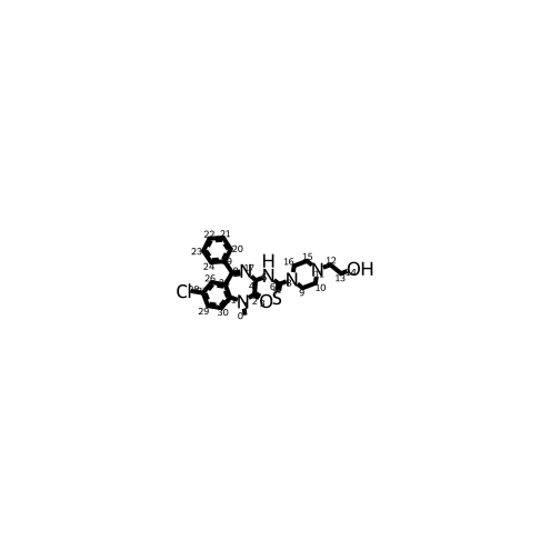 CN1C(=O)C(NC(=S)N2CCN(CCO)CC2)N=C(c2ccccc2)c2cc(Cl)ccc21